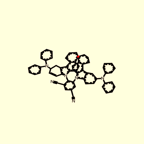 N#Cc1cc(C#N)c(-n2c3c(c4c5ccccc5ccc42)CC(N(c2ccccc2)c2ccccc2)C=C3)c(-n2c3ccc(N(c4ccccc4)c4ccccc4)cc3c3c4ccccc4ccc32)c1